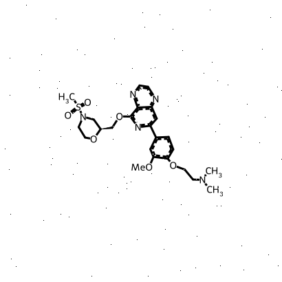 COc1cc(-c2cc3nccnc3c(OC[C@@H]3CN(S(C)(=O)=O)CCO3)n2)ccc1OCCN(C)C